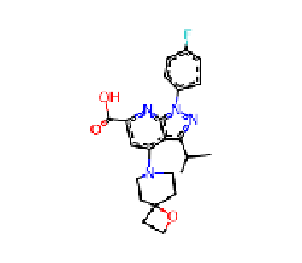 CC(C)c1nn(-c2ccc(F)cc2)c2nc(C(=O)O)cc(N3CCC4(CCO4)CC3)c12